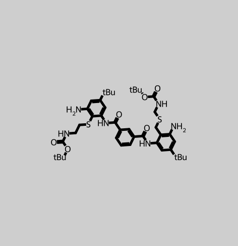 CC(C)(C)OC(=O)NCCSc1c(N)cc(C(C)(C)C)cc1NC(=O)c1cccc(C(=O)Nc2cc(C(C)(C)C)cc(N)c2CSCNC(=O)OC(C)(C)C)c1